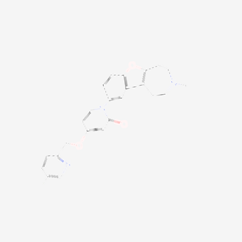 O=C(O)N1CCc2oc3ccc(-n4ccc(OCc5ccc(F)cn5)cc4=O)cc3c2CC1